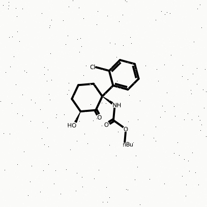 CCCCOC(=O)N[C@]1(c2ccccc2Cl)CCC[C@H](O)C1=O